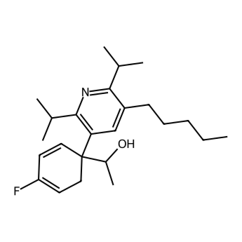 CCCCCc1cc(C2(C(C)O)C=CC(F)=CC2)c(C(C)C)nc1C(C)C